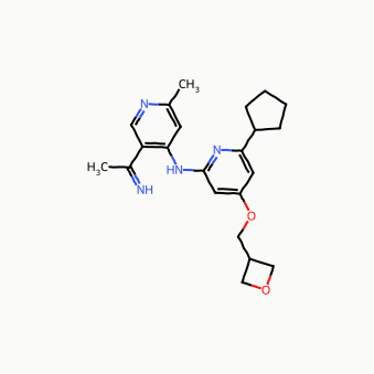 CC(=N)c1cnc(C)cc1Nc1cc(OCC2COC2)cc(C2CCCC2)n1